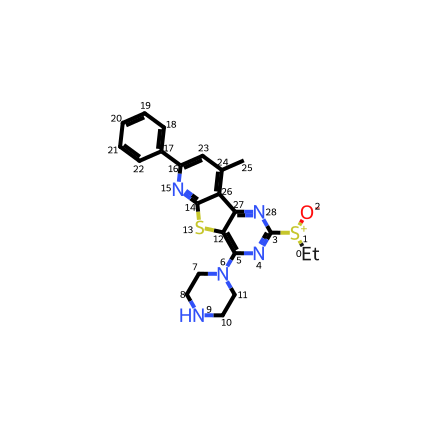 CC[S+]([O-])c1nc(N2CCNCC2)c2sc3nc(-c4ccccc4)cc(C)c3c2n1